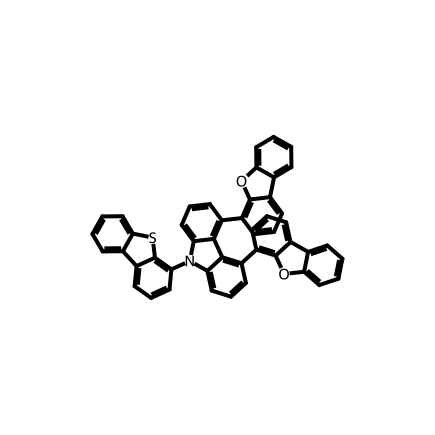 c1ccc2c(c1)oc1c(-c3cccc4c3c3c(-c5cccc6c5oc5ccccc56)cccc3n4-c3cccc4c3sc3ccccc34)cccc12